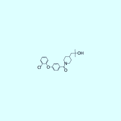 CC(C)(O)CC1CCN(C(=O)c2ccc(Oc3ccccc3Cl)cc2)CC1